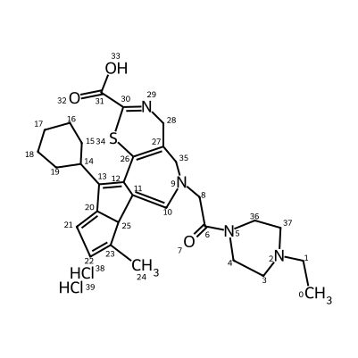 CCN1CCN(C(=O)CN2C=C3C(=C(C4CCCCC4)C4=CC=C(C)C34)C3=C(CN=C(C(=O)O)S3)C2)CC1.Cl.Cl